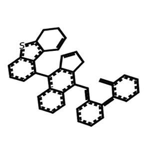 C=c1cccc/c1=c1\ccccc1=Cc1c2c(c(-c3cccc4sc5c(c34)C=CCC5)c3ccccc13)C=CC2